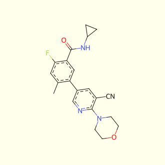 Cc1cc(F)c(C(=O)NC2CC2)cc1-c1cnc(N2CCOCC2)c(C#N)c1